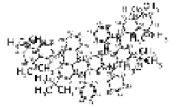 CC(C)(C)c1cc2c3c(c1)N(c1ccccc1)c1cc4c(cc1B3c1ccccc1N2c1ccc2c(c1)C(C)(C)CCC2(C)C)B1c2ccccc2N(c2ccc3c(c2)C(C)(C)CCC3(C)C)c2cc(C(C)(C)C)cc(c21)N4c1ccccc1